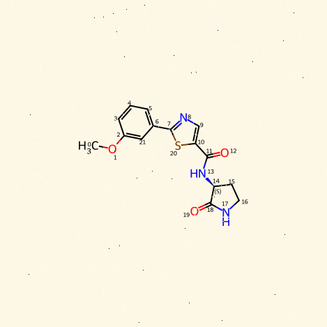 COc1cccc(-c2ncc(C(=O)N[C@H]3CCNC3=O)s2)c1